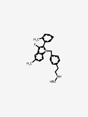 CCCCNCCc1ccc(Cn2c(-c3ccccc3C)c(F)c3cc(C)ccc32)cc1